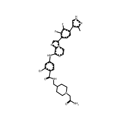 CCc1cc(Nc2nccn3c(-c4ccc(-c5c[nH]nc5C)c(F)c4F)cnc23)ccc1C(=O)NCC1CCN(CC(N)=O)CC1